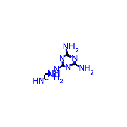 N=C=N.Nc1nc(N)nc(N)n1